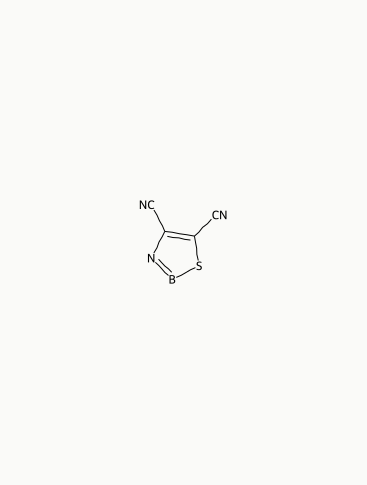 N#Cc1nbsc1C#N